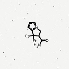 CCC1(CC)c2cccn2CC1C(N)=O